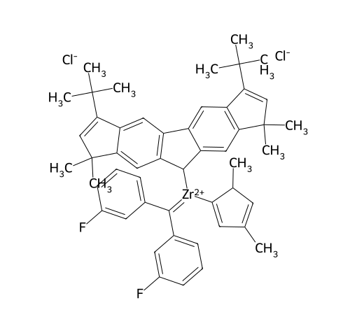 CC1=CC(C)[C]([Zr+2](=[C](c2cccc(F)c2)c2cccc(F)c2)[CH]2c3cc4c(cc3-c3cc5c(cc32)C(C)(C)C=C5C(C)(C)C)C(C(C)(C)C)=CC4(C)C)=C1.[Cl-].[Cl-]